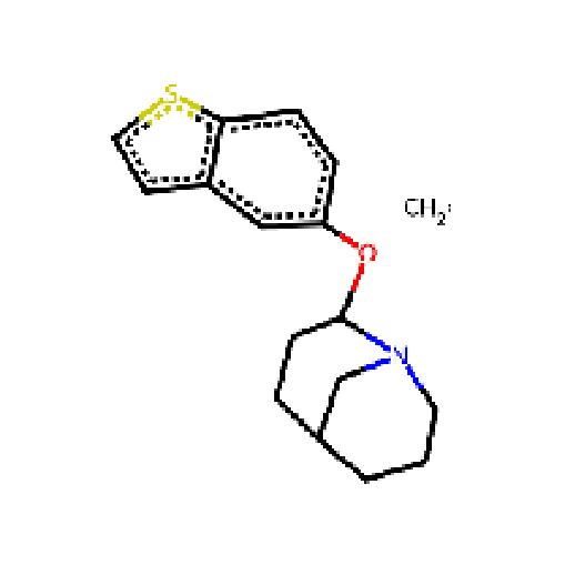 [CH2].c1cc2cc(OC3CCC4CCCN3C4)ccc2s1